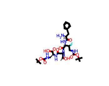 C[C@@H](O)[C@H](NC(=O)[C@@H](NC(=O)[C@@H](N)Cc1ccccc1)C(F)CNC(=O)OC(C)(C)C)C(=O)N[C@@H](CNC(=O)OC(C)(C)C)C(=O)O